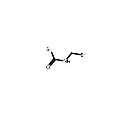 O=C(Br)NCBr